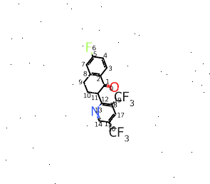 O=C1c2ccc(F)cc2CCC1c1ncc(C(F)(F)F)cc1C(F)(F)F